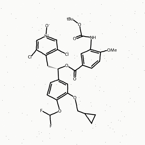 COc1ccc(C(=O)O[C@@H](Cc2c(Cl)c[n+]([O-])cc2Cl)c2ccc(OC(F)F)c(OCC3CC3)c2)cc1NC(=O)OC(C)(C)C